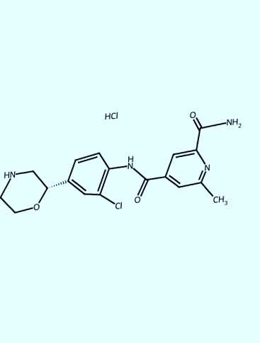 Cc1cc(C(=O)Nc2ccc([C@H]3CNCCO3)cc2Cl)cc(C(N)=O)n1.Cl